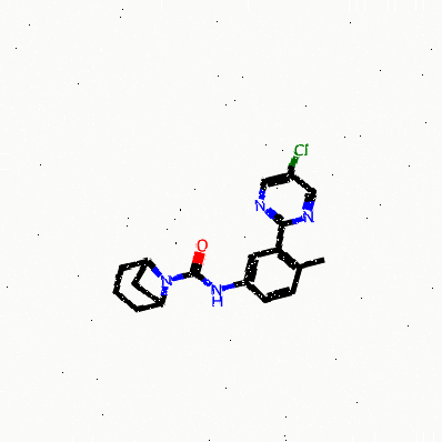 Cc1ccc(NC(=O)N2C3CCCC2C3)cc1-c1ncc(Cl)cn1